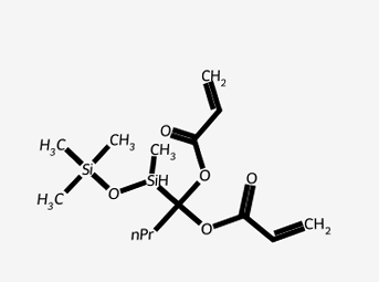 C=CC(=O)OC(CCC)(OC(=O)C=C)[SiH](C)O[Si](C)(C)C